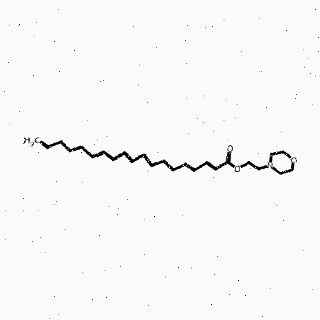 CCCCCCCCCCCCCCCCCCC(=O)OCCN1CCOCC1